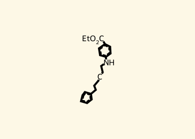 CCOC(=O)c1ccc(NCCCCCCc2ccccc2)cc1